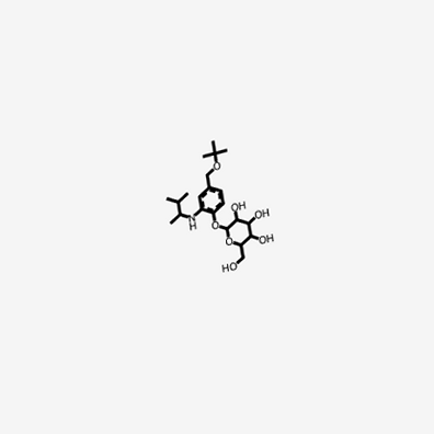 CC(C)C(C)Nc1cc(COC(C)(C)C)ccc1OC1OC(CO)C(O)C(O)C1O